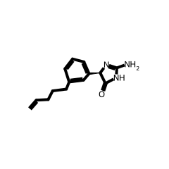 C=CCCCc1cccc([C@H]2N=C(N)NC2=O)c1